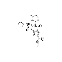 CCOC(=O)c1cc2n(n1)CC(C)(C(=O)NC1CCCC1)N(c1cccc(C)c1C)C2=O